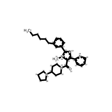 CCCCCCc1cccc(-c2nc(-c3ccccn3)c(C(=O)N3CCC(N4CCCC4)CC3)n2C)c1